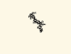 C=CCn1c(=O)c2cnc(Nc3ccc(N4CCN(C(=O)O)C(C(F)(F)F)C4)cc3)nc2n1-c1cncc(N=S(C)(C)=O)n1